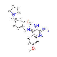 COc1ccc2c(c1)nc(N)c1[nH]c(=O)n(Cc3ccc(CN4CCCC4)cc3)c12